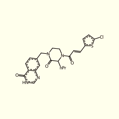 CCCC1C(=O)N(Cc2ccc3c(=O)[nH]cnc3c2)CCN1C(=O)C=Cc1ccc(Cl)s1